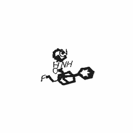 O=C(N[C@H]1CN2CCC1CC2)C12CC3CC(c4ccccc4)(C1)C[C@](CCF)(C3)C2